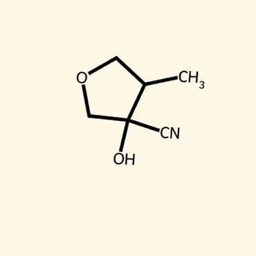 CC1COCC1(O)C#N